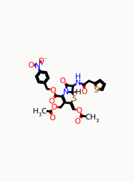 CC(=O)OC=C1S[C@H]2C(NC(=O)Cc3cccs3)C(=O)N2C(C(=O)OCc2ccc([N+](=O)[O-])cc2)=C1COC(C)=O